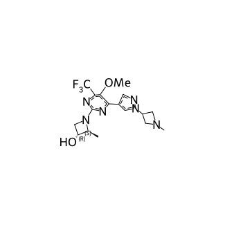 COc1c(-c2cnn(C3CN(C)C3)c2)nc(N2C[C@@H](O)[C@@H]2C)nc1C(F)(F)F